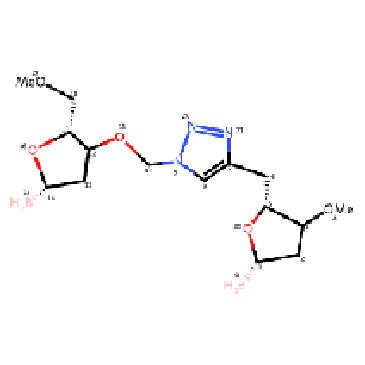 B[C@H]1CC(OC)[C@@H](Cc2cn(COC3C[C@H](B)O[C@@H]3COC)nn2)O1